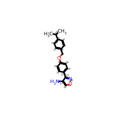 CC(C)c1ccc(COc2ccc(-c3nocc3N)cc2)cc1